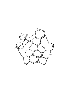 CCCCC1(c2cccs2)C23C4=C5c6c7ccc8c6C21c1c-8ccc2c1C1=C3c3c4c4c6c8c(cc9c(c38)C1C2C=C9)CC6=CC1C=CC7C5C41